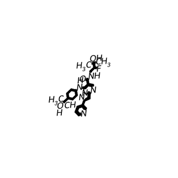 CC(C)(O)C(F)CNC(=O)c1cnc2cc(-c3cccnc3)nn2c1NC1CCC(C(C)(C)O)CC1